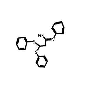 SC(CC(Sc1ccccc1)Sc1ccccc1)=Nc1ccccc1